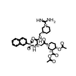 CC(=O)OC(=O)[C@H]1CN(C(=O)C[C@@H](NS(=O)(=O)c2ccc3ccccc3c2)C(=O)NC[C@@H]2CCCN(C(=N)N)C2)CC[C@@H]1OC(C)=O